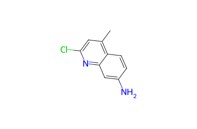 Cc1cc(Cl)nc2cc(N)ccc12